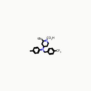 Cc1ccc(N(Cc2ccc(C(F)(F)F)cc2)C2CCN(C(=O)O)C(C(C)(C)C)C2)cc1